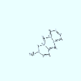 Cc1ccc2nc3ccccc3nc2c1